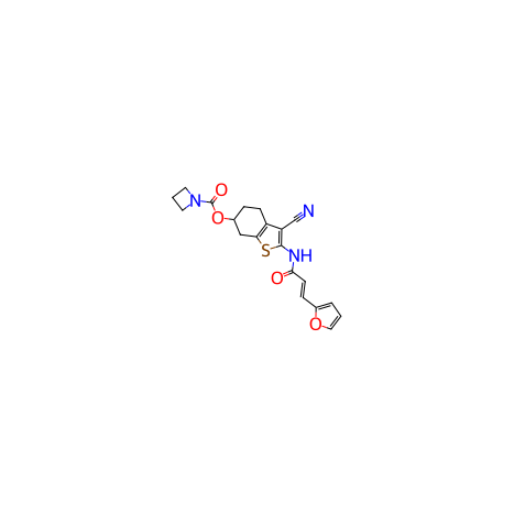 N#Cc1c(NC(=O)C=Cc2ccco2)sc2c1CCC(OC(=O)N1CCC1)C2